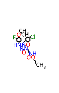 CCCCOC(=O)NCCn1c(=O)nc(Nc2ccc(OC(C)C)c(F)c2)n(Cc2ccc(Cl)cc2)c1=O